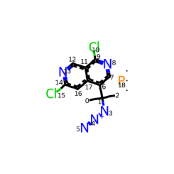 CC(C)(N=[N+]=[N-])c1cnc(Cl)c2cnc(Cl)cc12.[P]